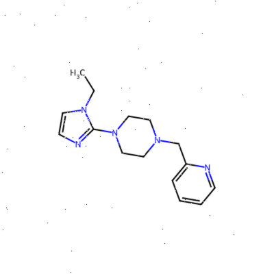 CCn1ccnc1N1CCN(Cc2ccccn2)CC1